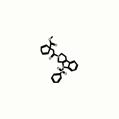 COC(=O)C1(CC(=O)N2CCc3c(n(S(=O)(=O)c4ccccc4)c4ccccc34)C2)C=CCC=C1